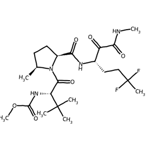 CNC(=O)C(=O)[C@H](CCC(C)(F)F)NC(=O)[C@@H]1CC[C@H](C)N1C(=O)[C@@H](NC(=O)OC)C(C)(C)C